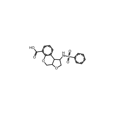 O=C(O)c1cccc2c1OCC1OCC(NS(=O)(=O)c3ccccc3)C21